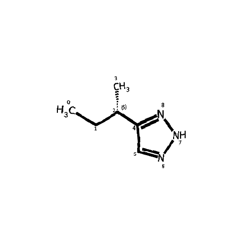 CC[C@H](C)c1cn[nH]n1